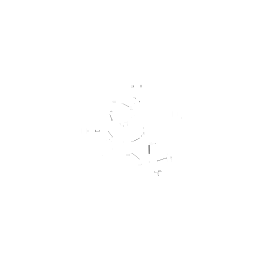 CCCCC(C(=O)NO)N1C(=O)C(O)=C(C)C1c1ccc(C(=N)N)cc1